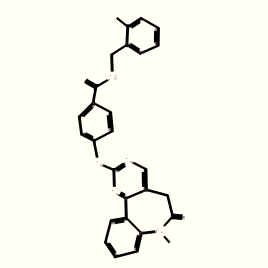 CN1C(=O)Cc2cnc(Nc3ccc(C(=O)NCc4ccccc4F)cc3)nc2-c2ccccc21